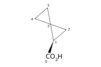 O=C(O)[C@@H]1CC12CC2